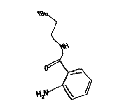 CC(C)(C)CCNC(=O)c1ccccc1N